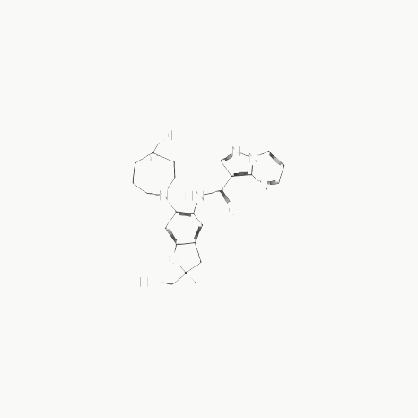 C[C@@]1(O)CCCN(c2cc3c(cc2NC(=O)c2cnn4cccnc24)C[C@](C)(CO)O3)CC1